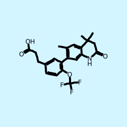 Cc1cc2c(cc1-c1cc(CCC(=O)O)ccc1OC(F)(F)F)NC(=O)CC2(C)C